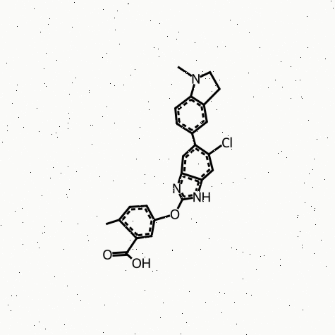 Cc1ccc(Oc2nc3cc(-c4ccc5c(c4)CCN5C)c(Cl)cc3[nH]2)cc1C(=O)O